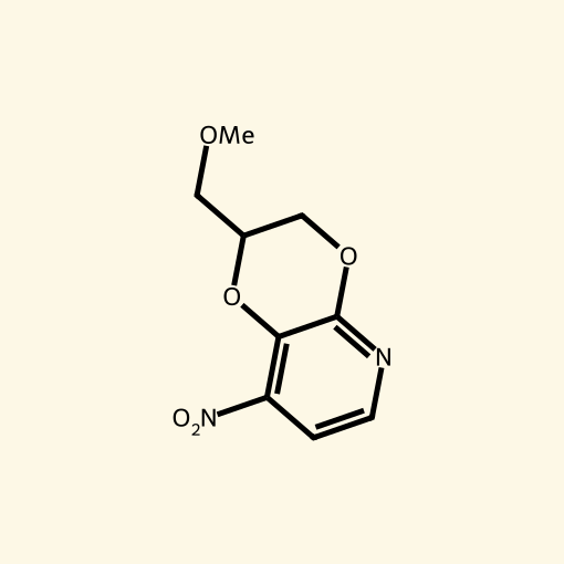 COCC1COc2nccc([N+](=O)[O-])c2O1